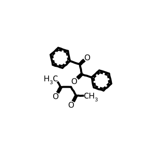 CC(=O)CC(C)=O.O=C(C(=O)c1ccccc1)c1ccccc1